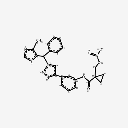 Cc1ncsc1C(c1ccccc1)n1cc(-c2cccc(OC(=O)C3(CO[N+](=O)[O-])CC3)c2)nn1